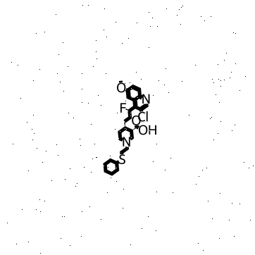 COc1ccc2ncc(Cl)c([C@@H](F)CC[C@H]3CCN(CCSC4CCCCC4)C[C@H]3C(=O)O)c2c1